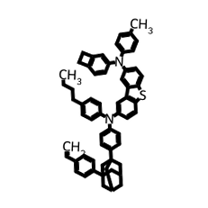 C=Cc1ccc(C23CC4CC(C2)CC(c2ccc(N(c5ccc(CCCC)cc5)c5ccc6sc7ccc(N(c8ccc(C)cc8)c8ccc9c(c8)CC9)cc7c6c5)cc2)(C4)C3)cc1